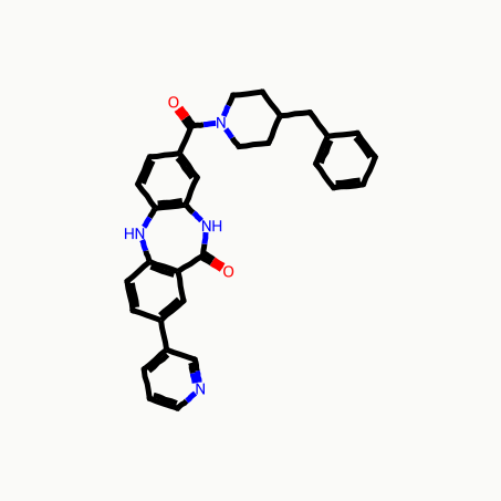 O=C1Nc2cc(C(=O)N3CCC(Cc4ccccc4)CC3)ccc2Nc2ccc(-c3cccnc3)cc21